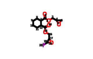 O=C(OCC1CO1)C1CCCCC1C(=O)OCC1OC1I